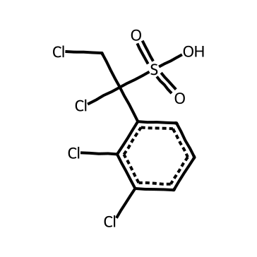 O=S(=O)(O)C(Cl)(CCl)c1cccc(Cl)c1Cl